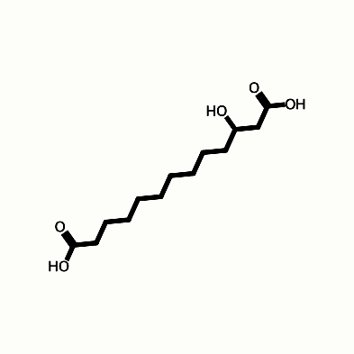 O=C(O)CCCCCCCCCC(O)CC(=O)O